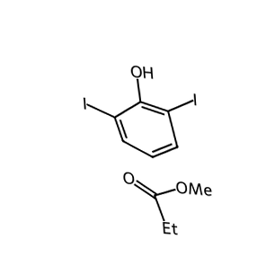 CCC(=O)OC.Oc1c(I)cccc1I